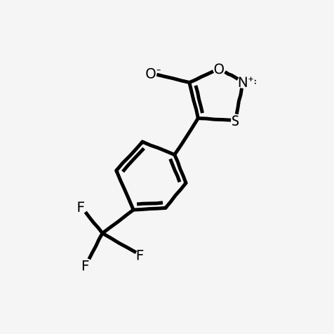 [O-]C1=C(c2ccc(C(F)(F)F)cc2)S[N+]O1